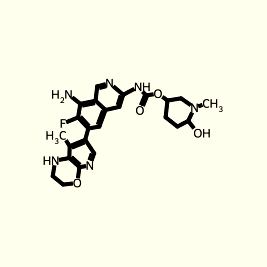 Cc1c(-c2cc3cc(NC(=O)OC4CCC(O)N(C)C4)ncc3c(N)c2F)cnc2c1NCCO2